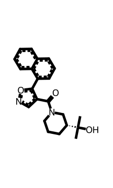 CC(C)(O)[C@@H]1CCCN(C(=O)c2cnoc2-c2cccc3ccccc23)C1